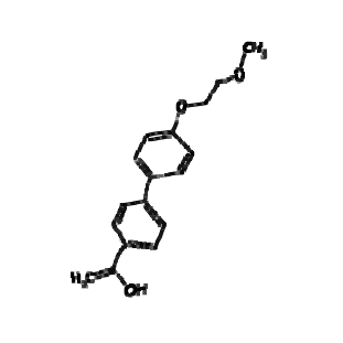 C=C(O)c1ccc(-c2ccc(OCCOC)cc2)cc1